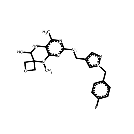 Cc1nc(NCc2cnn(Cc3ccc(F)cc3)c2)nc2c1NC(O)C1(COC1)N2C